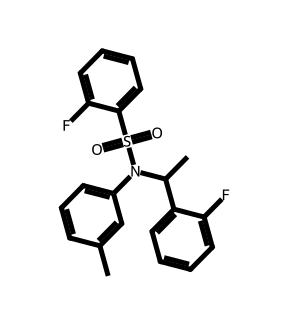 Cc1cccc(N(C(C)c2ccccc2F)S(=O)(=O)c2ccccc2F)c1